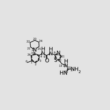 Cc1ccc(NC(=O)Nc2ncc(CNC(=N)N)s2)c(N2CCCCC2)c1